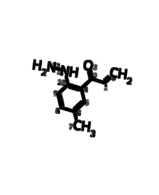 C=CC(=O)c1cc(C)ccc1NN